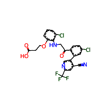 N#Cc1cc(C(F)(F)F)ncc1-c1cc(Cl)ccc1C(=O)CNc1c(Cl)cccc1OCCC(=O)O